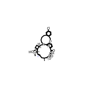 CO[C@@]1(CO)/C=C/C[C@H](C)[C@@H](C)S(=O)(=O)NC(=O)c2ccc3c(n2)N(CCCCc2cc(Cl)ccc2CO3)C[C@@H]2CC[C@H]21